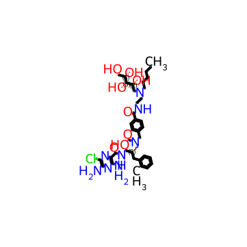 CCCCCCN(CCNC(=O)c1ccc(CN(C[C@@H](CNC(=O)c2nc(Cl)c(N)nc2N)Cc2ccccc2C)C(=O)O)cc1)C[C@@H](O)[C@H](O)[C@@H](O)CO